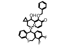 O=c1ccn2c(c1OCc1ccccc1)C(O)C1(CC1)CN2C1c2ccccc2SCc2c1ccc(F)c2F